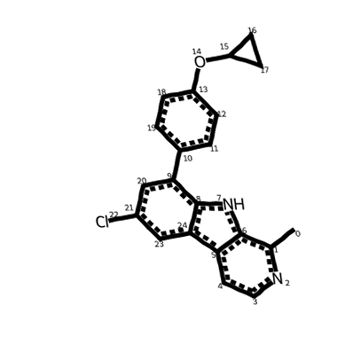 Cc1nccc2c1[nH]c1c(-c3ccc(OC4CC4)cc3)cc(Cl)cc12